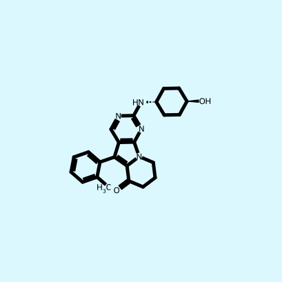 Cc1ccccc1-c1c2n(c3nc(N[C@H]4CC[C@H](O)CC4)ncc13)CCCC2=O